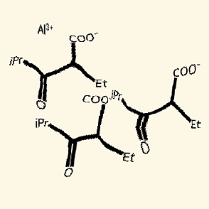 CCC(C(=O)[O-])C(=O)C(C)C.CCC(C(=O)[O-])C(=O)C(C)C.CCC(C(=O)[O-])C(=O)C(C)C.[Al+3]